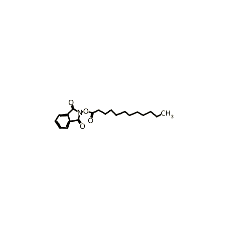 CCCCCCCCCCCC(=O)ON1C(=O)c2ccccc2C1=O